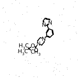 CC(C)(C)OC(=O)N1CCN(c2cccc(-c3ncccn3)c2)CC1